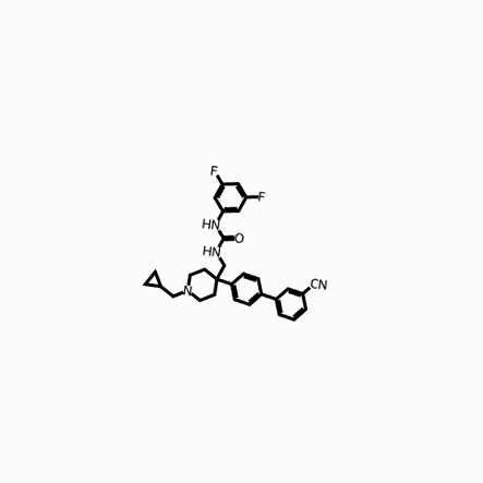 N#Cc1cccc(-c2ccc(C3(CNC(=O)Nc4cc(F)cc(F)c4)CCN(CC4CC4)CC3)cc2)c1